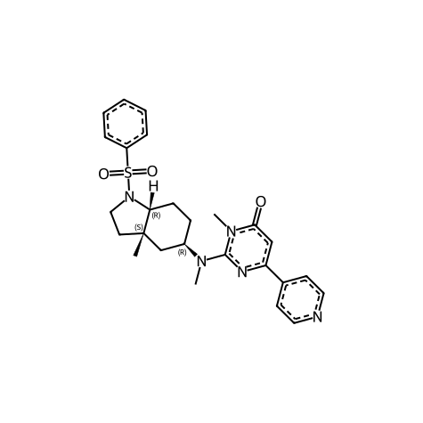 CN(c1nc(-c2ccncc2)cc(=O)n1C)[C@@H]1CC[C@H]2N(S(=O)(=O)c3ccccc3)CC[C@@]2(C)C1